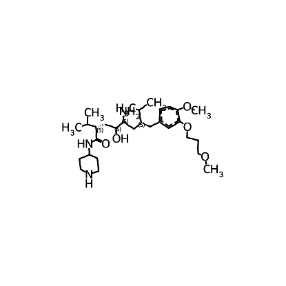 COCCCOc1cc(C[C@@H](C[C@H](N)[C@@H](O)C[C@H](C(=O)NC2CCNCC2)C(C)C)C(C)C)ccc1OC